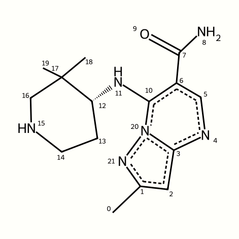 Cc1cc2ncc(C(N)=O)c(N[C@@H]3CCNCC3(C)C)n2n1